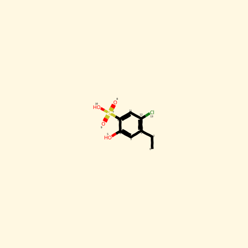 CCc1cc(O)c(S(=O)(=O)O)cc1Cl